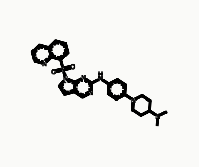 CN(C)C1CCN(c2ccc(Nc3ncc4ccn(S(=O)(=O)c5cccc6cccnc56)c4n3)cc2)CC1